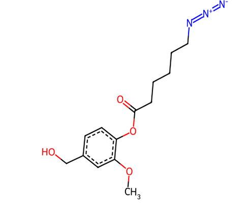 COc1cc(CO)ccc1OC(=O)CCCCCN=[N+]=[N-]